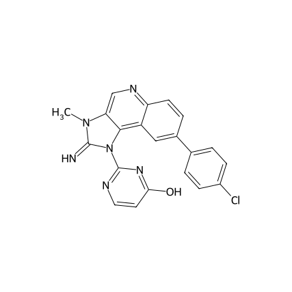 Cn1c(=N)n(-c2nccc(O)n2)c2c3cc(-c4ccc(Cl)cc4)ccc3ncc21